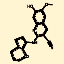 COc1cc2cc(C#N)c(Nc3ccc4cccoc3-4)nc2cc1O